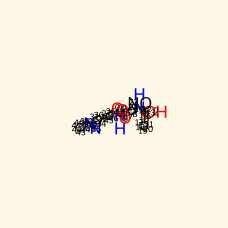 O=C(NS(=O)(=O)c1ccc(N[C@H](CO)CSc2ccccc2)c([N+](=O)[O-])c1)c1ccc(-c2ccc3c(c2)ncn3CC2CCCCC2)cc1